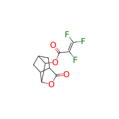 O=C(OC1C2CC3C(=O)OC1C3C2)C(F)=C(F)F